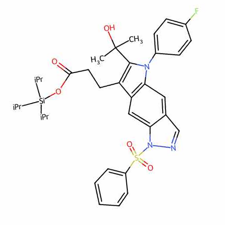 CC(C)[Si](OC(=O)CCc1c(C(C)(C)O)n(-c2ccc(F)cc2)c2cc3cnn(S(=O)(=O)c4ccccc4)c3cc12)(C(C)C)C(C)C